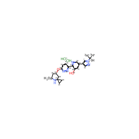 Cl.Cl.[2H]C([2H])([2H])n1cc(-c2cnc(-c3ccc(O[C@@H]4C[C@@H](C)NC5(CC5)C4)nn3)c(O)c2)cn1